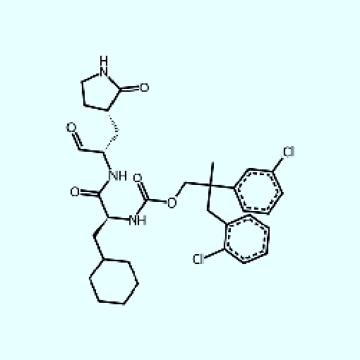 CC(COC(=O)N[C@@H](CC1CCCCC1)C(=O)N[C@H](C=O)C[C@@H]1CCNC1=O)(Cc1ccccc1Cl)c1cccc(Cl)c1